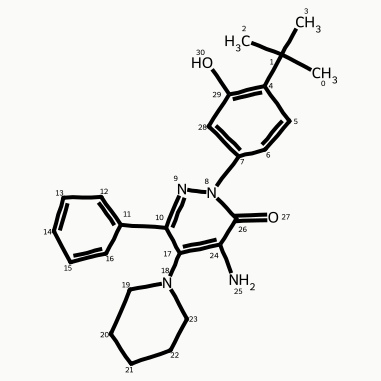 CC(C)(C)c1ccc(-n2nc(-c3ccccc3)c(N3CCCCC3)c(N)c2=O)cc1O